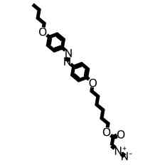 CCCCOc1ccc(N=Nc2ccc(OCCCCCCOC(=O)C=[N+]=[N-])cc2)cc1